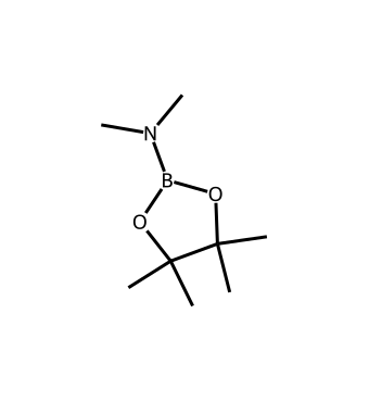 CN(C)B1OC(C)(C)C(C)(C)O1